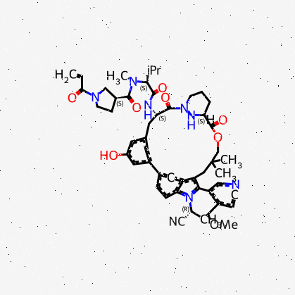 C=CC(=O)N1CC[C@H](C(=O)N(C)[C@H](C(=O)N[C@H]2Cc3cc(O)cc(c3)-c3ccc4c(c3)c(c(-c3cnccc3COC)n4[C@H](C)C#N)CC(C)(C)COC(=O)[C@@H]3CCCN(N3)C2=O)C(C)C)C1